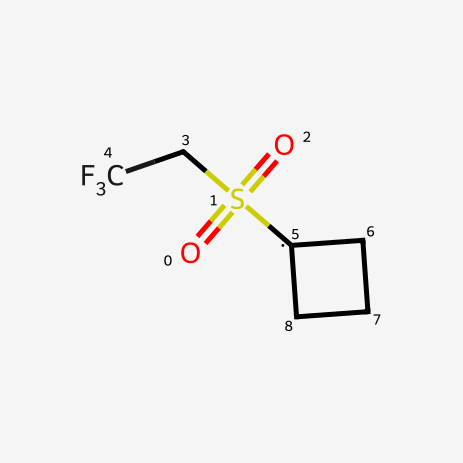 O=S(=O)(CC(F)(F)F)[C]1CCC1